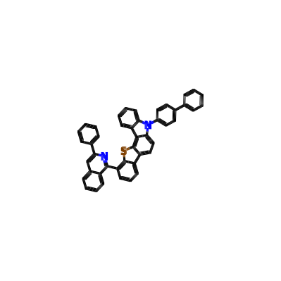 c1ccc(-c2ccc(-n3c4ccccc4c4c5sc6c(-c7nc(-c8ccccc8)cc8ccccc78)cccc6c5ccc43)cc2)cc1